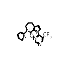 O=C1c2c(ccn2-c2ncncc2C(F)(F)F)CCCN1c1ccccn1